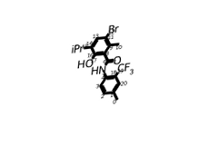 Cc1ccc(NC(=O)c2c(C)c(Br)cc(C(C)C)c2O)c(C(F)(F)F)c1